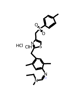 CCN(C)/C=N\c1cc(C)c(Cc2nc(CS(=O)(=O)c3ccc(C)cc3)cs2)cc1C.Cl.Cl